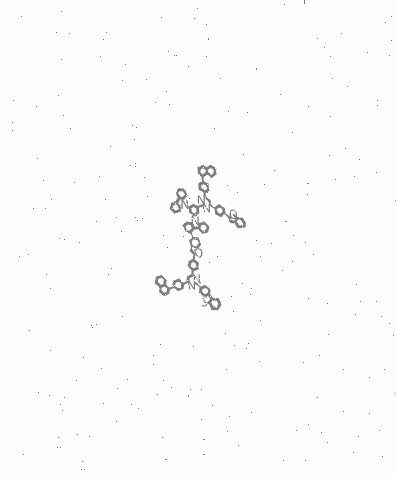 C1=C(c2ccc(-c3cc(-c4ccc(-c5cccc6ccccc56)cc4)nc(-c4ccc5c(c4)sc4ccccc45)n3)cc2)OC2=CC=C(c3cccc4c3c3ccccc3n4-c3cc(-c4nc(-c5ccc(-c6cc7ccccc7o6)cc5)cc(-c5ccc(-c6cccc7ccccc67)cc5)n4)cc(-n4c5ccccc5c5ccccc54)c3)CC12